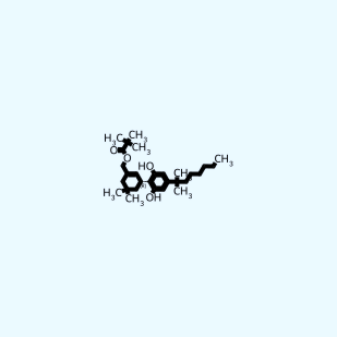 CCCCCCC(C)(C)c1cc(O)c([C@H]2C=C(COC(=O)C(C)(C)C)CC(C)(C)C2)c(O)c1